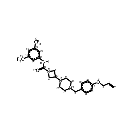 C=CCOc1ccc(CN2CCN(C3CN(C(=O)Nc4cc(C(F)(F)F)cc(C(F)(F)F)c4)C3)CC2)cc1